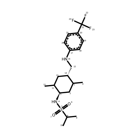 CC1C[C@@H](NS(=O)(=O)C(C)C)C(C)C[C@@H]1CNc1ccc(C(F)(F)F)cc1